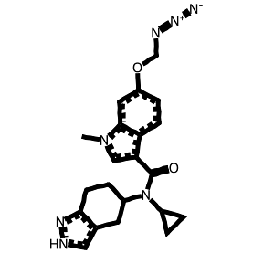 Cn1cc(C(=O)N(C2CC2)C2CCc3n[nH]cc3C2)c2ccc(OCN=[N+]=[N-])cc21